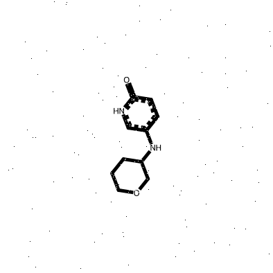 O=c1ccc(NC2CCCOC2)c[nH]1